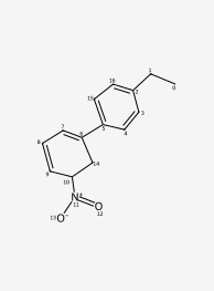 CCc1ccc(C2=CC=CC([N+](=O)[O-])C2)cc1